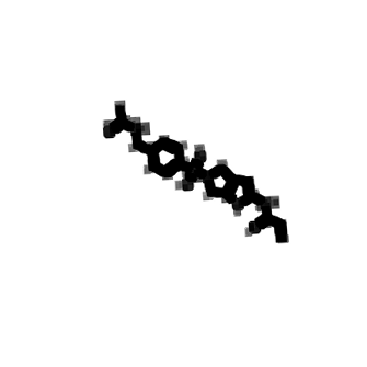 C=CC(=O)Nc1cc2c(o1)CN(S(=O)(=O)c1ccc(CNC(C)=O)cc1)C2